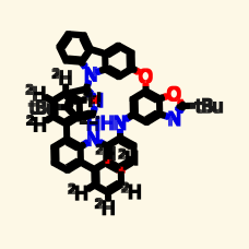 [2H]c1c([2H])c([2H])c(-c2cccc(-c3c([2H])c([2H])c([2H])c([2H])c3[2H])c2Nc2ccccc2Nc2cc(Oc3ccc4c5ccccc5n(-c5cc(C(C)(C)C)ccn5)c4c3)c3oc(C(C)(C)C)nc3c2)c([2H])c1[2H]